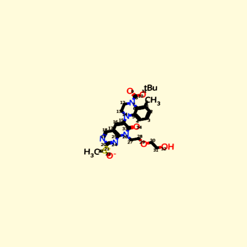 Cc1cccc2c1N(C(=O)OC(C)(C)C)CCN2c1cc2cnc([S+](C)[O-])nc2n(CCOCCO)c1=O